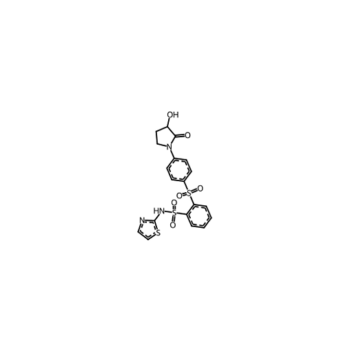 O=C1C(O)CCN1c1ccc(S(=O)(=O)c2ccccc2S(=O)(=O)Nc2nccs2)cc1